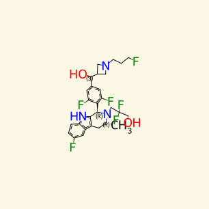 C[C@@H]1Cc2c([nH]c3ccc(F)cc23)[C@@H](c2c(F)cc([C@@H](O)C3CN(CCCF)C3)cc2F)N1CC(F)(F)CO